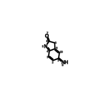 N=C1C=CC2=NC(=O)CC2=C1